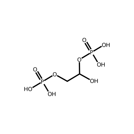 O=P(O)(O)OCC(O)OP(=O)(O)O